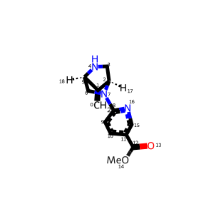 C=C1[C@H]2CN[C@@H]1CN2c1ccc(C(=O)OC)cn1